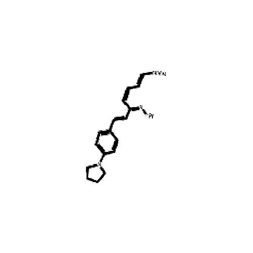 CCC/N=C(/C=C\C=C\NC)\C=C\c1ccc(N2CCCC2)cc1